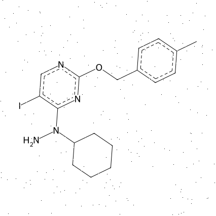 Cc1ccc(COc2ncc(I)c(N(N)C3CCCCC3)n2)cc1